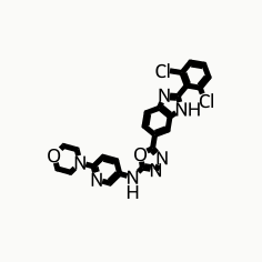 Clc1cccc(Cl)c1-c1nc2ccc(-c3nnc(Nc4ccc(N5CCOCC5)nc4)o3)cc2[nH]1